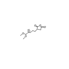 COC(OC)[SiH2]CCCC1CC(=O)OC1=O